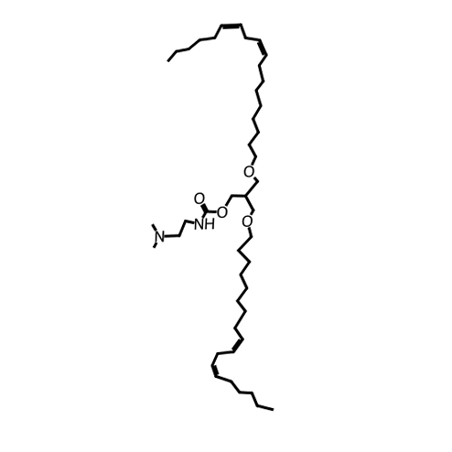 CCCCC/C=C\C/C=C\CCCCCCCCOCC(COCCCCCCCC/C=C\C/C=C\CCCCC)COC(=O)NCCN(C)C